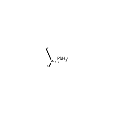 C[P]C.[PbH2]